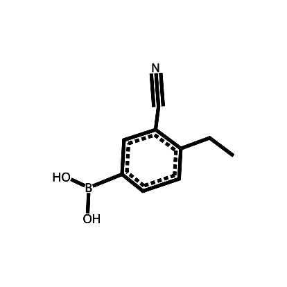 CCc1ccc(B(O)O)cc1C#N